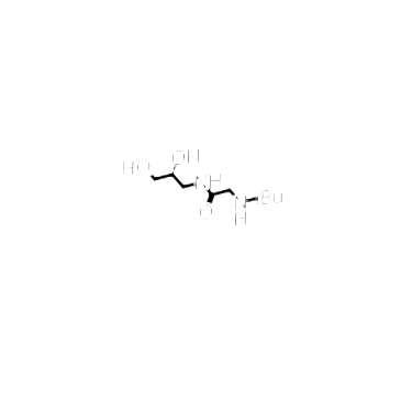 CCC(C)NCC(=O)NC[C@H](O)CO